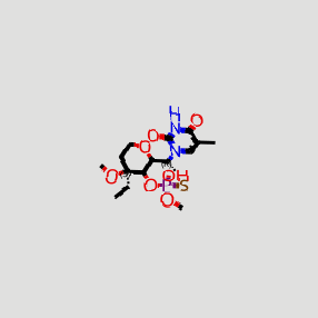 CC[C@]1(OC)CCOC([C@@H](C)n2cc(C)c(=O)[nH]c2=O)C1OP(O)(=S)OC